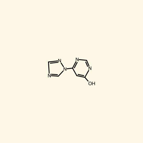 Oc1cc(-n2cncn2)ncn1